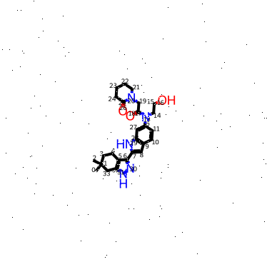 CC1(C)CCc2c(-c3cc4ccc(N(CCO)C(=O)CN5CCCCC5=O)cc4[nH]3)n[nH]c2C1